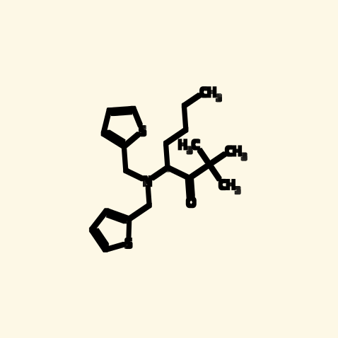 CCCC[C](C(=O)C(C)(C)C)N(Cc1cccs1)Cc1cccs1